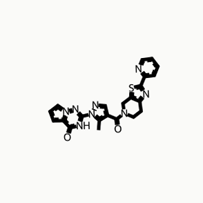 Cc1c(C(=O)N2CCc3nc(-c4ccccn4)sc3C2)cnn1-c1nn2cccc2c(=O)[nH]1